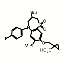 CCCCC1CN(c2ccc(F)cc2)c2cc(SC)c(OCC3(C(=O)O)CC3)cc2S(=O)(=O)C1